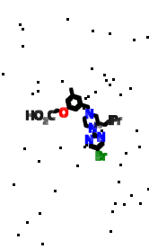 Cc1cc(CN2CCN(c3ncc(Br)cn3)[C@H](CC(C)C)C2)cc(OCC(=O)O)c1